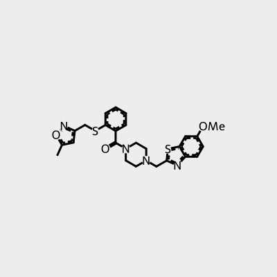 COc1ccc2nc(CN3CCN(C(=O)c4ccccc4SCc4cc(C)on4)CC3)sc2c1